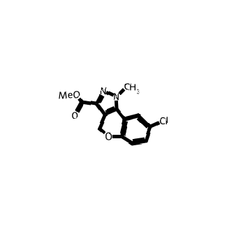 COC(=O)c1nn(C)c2c1COc1ccc(Cl)cc1-2